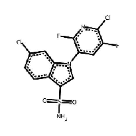 NS(=O)(=O)c1cn(-c2cc(F)c(Cl)nc2F)c2cc(Cl)ccc12